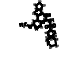 COc1cc(-c2sc3c(c2NC(=O)NS(=O)(=O)c2cc4c(s2)C2CCN(CC2)C4)CCC3)ccn1